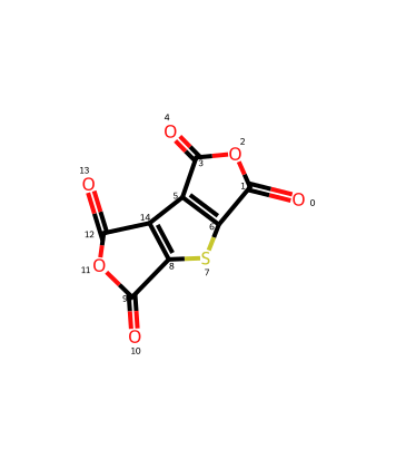 O=c1oc(=O)c2c1sc1c(=O)oc(=O)c12